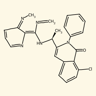 C=N/C(N[C@@H](C)c1cc2cccc(Cl)c2c(=O)n1-c1ccccc1)=C1/N=CC=C/C1=N/C